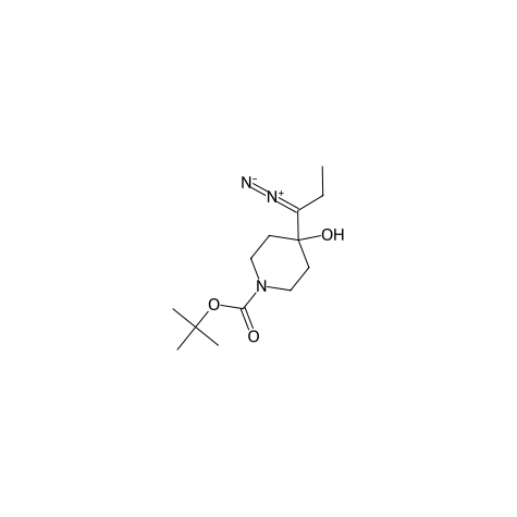 CCC(=[N+]=[N-])C1(O)CCN(C(=O)OC(C)(C)C)CC1